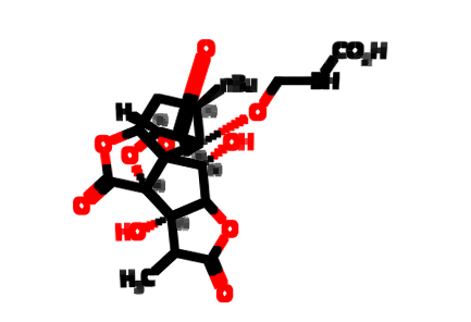 CCCC[C@@H]1CC2OC(=O)[C@@]34O[C@H]5OC(=O)[C@@H](OCBC(=O)O)C15C23[C@H](O)C1OC(=O)C(C)[C@]14O